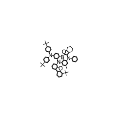 Cc1cc2c3c(c1)N(c1cccc4c1oc1c(C(C)(C)C)cccc14)c1cc(N(c4ccc(C(C)(C)C)cc4)c4ccc(C(C)(C)C)cc4)ccc1B3c1oc3c(c1N2c1ccccc1)CCCC3